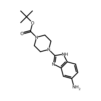 CC(C)(C)OC(=O)N1CCN(c2nc3cc(N)ccc3[nH]2)CC1